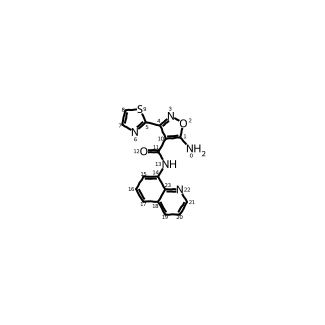 Nc1onc(-c2nccs2)c1C(=O)Nc1cccc2cccnc12